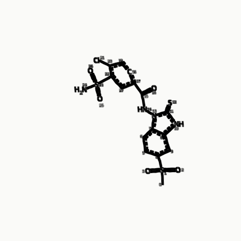 CS(=O)(=O)c1ccc2c(c1)[nH]c(=S)n2NC(=O)c1ccc(Cl)c(S(N)(=O)=O)c1